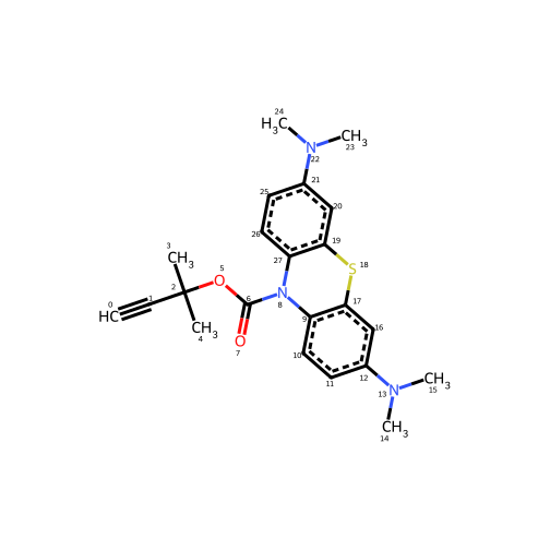 C#CC(C)(C)OC(=O)N1c2ccc(N(C)C)cc2Sc2cc(N(C)C)ccc21